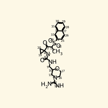 CC(C(=O)C1([N]C(=O)NCC2CN(C(=N)N)CCO2)CC1)S(=O)(=O)c1ccc2ccccc2c1